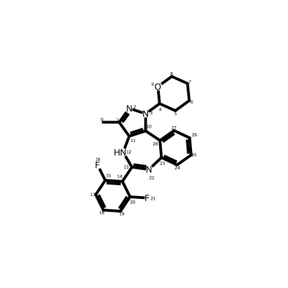 Cc1nn(C2CCCCO2)c2c1NC(c1c(F)cccc1F)=Nc1ccccc1-2